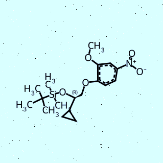 COc1cc([N+](=O)[O-])ccc1OC[C@H](O[Si](C)(C)C(C)(C)C)C1CC1